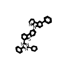 c1ccc(-c2ccc3c(c2)c2cccnc2n3-c2ccc3sc4c(-c5nc(-c6ccccc6)nc(-c6ccccc6)n5)cccc4c3c2)cc1